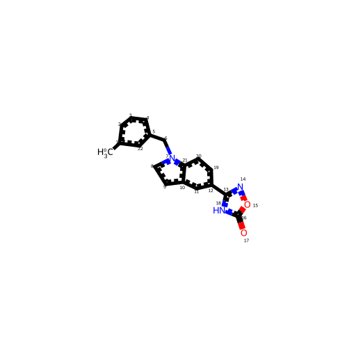 Cc1cccc(Cn2ccc3cc(-c4noc(=O)[nH]4)ccc32)c1